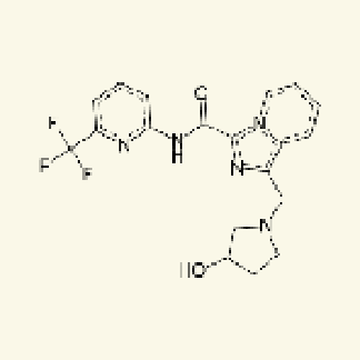 O=C(Nc1cccc(C(F)(F)F)n1)c1nc(CN2CCC(O)C2)c2ccccn12